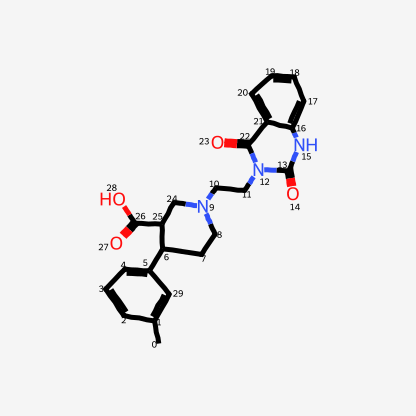 Cc1cccc(C2CCN(CCn3c(=O)[nH]c4ccccc4c3=O)CC2C(=O)O)c1